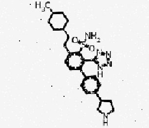 C[C@H]1CC[C@@H](CCc2ccc(-c3ccc(C4CCNC4)cc3)c(-c3nnn[nH]3)c2S(N)(=O)=O)CC1